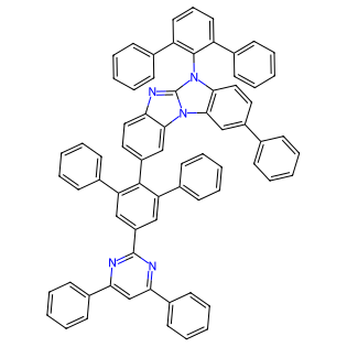 c1ccc(-c2ccc3c(c2)n2c4cc(-c5c(-c6ccccc6)cc(-c6nc(-c7ccccc7)cc(-c7ccccc7)n6)cc5-c5ccccc5)ccc4nc2n3-c2c(-c3ccccc3)cccc2-c2ccccc2)cc1